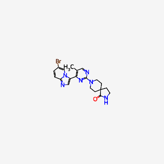 Cc1cnc(N2CCC3(CCNC3=O)CC2)nc1-c1cnc2ccc(Br)cn12